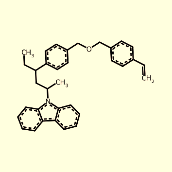 C=Cc1ccc(COCc2ccc(C(CC)CC(C)n3c4ccccc4c4ccccc43)cc2)cc1